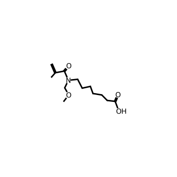 C=C(C)C(=O)N(CCCCCCC(=O)O)COC